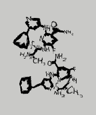 C[C@H](N)[C@@H](C)Nc1nc(Nc2cncc(-c3ccccc3)c2)c(C(N)=O)cc1F.C[C@H](Nc1nc(Nc2cncc(-c3ccccc3)c2)c(C(N)=O)cc1F)[C@@H](C)N